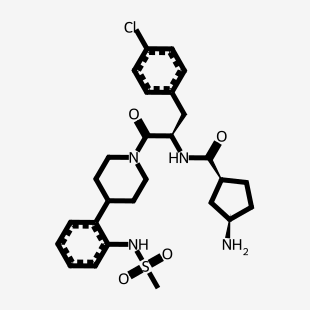 CS(=O)(=O)Nc1ccccc1C1CCN(C(=O)[C@@H](Cc2ccc(Cl)cc2)NC(=O)[C@H]2CC[C@@H](N)C2)CC1